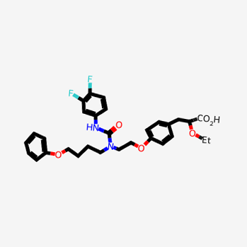 CCOC(Cc1ccc(OCCN(CCCCOc2ccccc2)C(=O)Nc2ccc(F)c(F)c2)cc1)C(=O)O